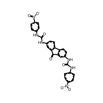 O=C(Nc1ccc([N+](=O)[O-])cc1)Nc1ccc2c(c1)C(=O)c1cc(NC(=O)Nc3ccc([N+](=O)[O-])cc3)ccc1-2